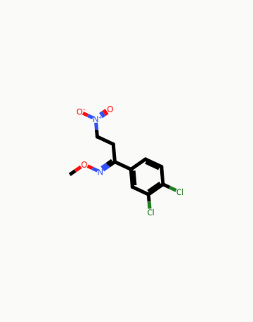 CON=C(CC[N+](=O)[O-])c1ccc(Cl)c(Cl)c1